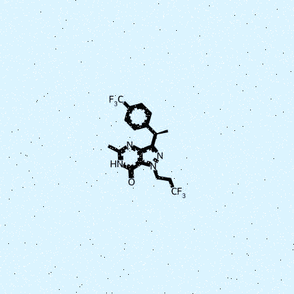 Cc1nc2c([C@H](C)c3ccc(C(F)(F)F)cc3)nn(CCC(F)(F)F)c2c(=O)[nH]1